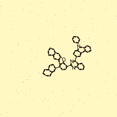 c1ccc(-n2c3ccccc3c3cc(-c4nc(-c5ccc(-c6ccc7ccccc7c6)c6c5oc5cc7ccccc7cc56)nc5ccccc45)ccc32)cc1